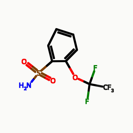 NS(=O)(=O)c1ccccc1OC(F)(F)C(F)(F)F